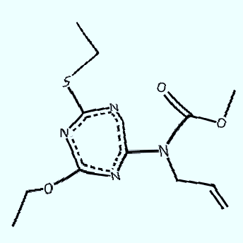 C=CCN(C(=O)OC)c1nc(OCC)nc(SCC)n1